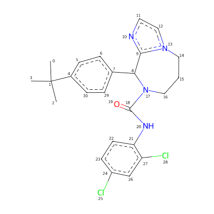 CC(C)(C)c1ccc(C2c3nccn3CCCN2C(=O)Nc2ccc(Cl)cc2Cl)cc1